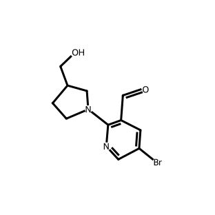 O=Cc1cc(Br)cnc1N1CCC(CO)C1